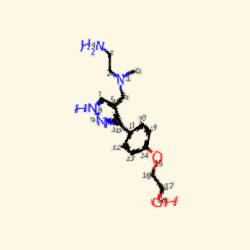 CN(CCN)Cc1c[nH]nc1-c1ccc(OCCO)cc1